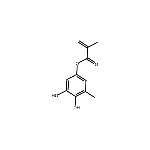 C=C(C)C(=O)Oc1cc(C)c(O)c(O)c1